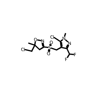 Cn1nc(C(F)F)c(CS(=O)(=O)C2=NOC(C)(CCl)C2)c1Cl